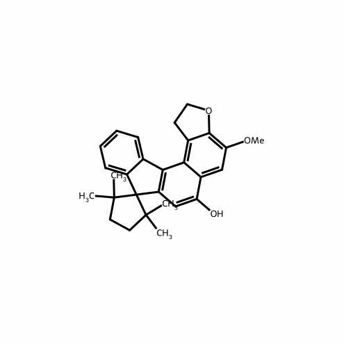 COc1cc2c(O)cc3c(c2c2c1OCC2)-c1ccccc1C31C(C)(C)CCC1(C)C